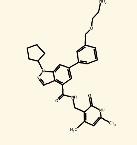 Cc1cc(C)c(CNC(=O)c2cc(-c3cccc(COCCN)c3)cc3c2cnn3C2CCCC2)c(=O)[nH]1